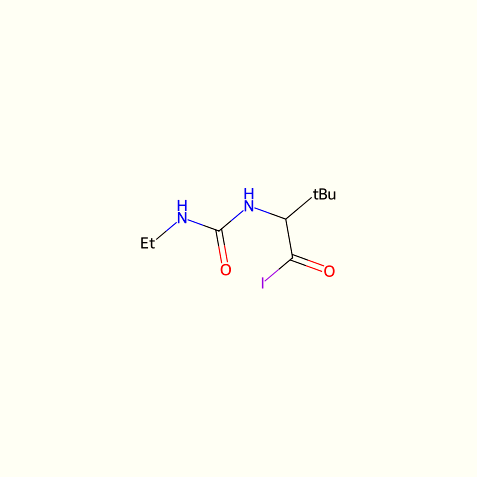 CCNC(=O)NC(C(=O)I)C(C)(C)C